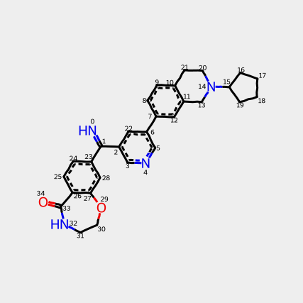 N=C(c1cncc(-c2ccc3c(c2)CN(C2CCCC2)CC3)c1)c1ccc2c(c1)OCCNC2=O